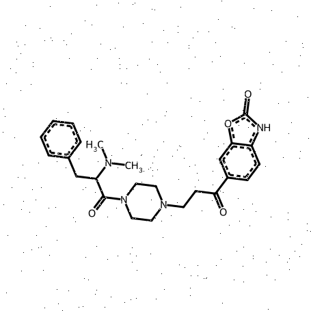 CN(C)C(Cc1ccccc1)C(=O)N1CCN(CCC(=O)c2ccc3[nH]c(=O)oc3c2)CC1